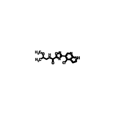 COC(C)CNC(=O)c1nc(-c2cnc3[nH]ccc3c2Cl)no1